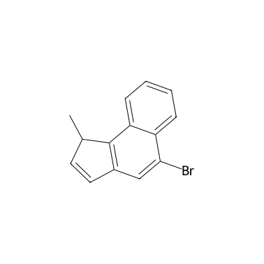 CC1C=Cc2cc(Br)c3ccccc3c21